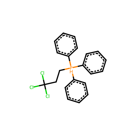 ClC(Cl)(Cl)CC[PH](c1ccccc1)(c1ccccc1)c1ccccc1